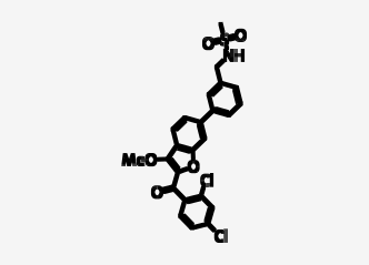 COc1c(C(=O)c2ccc(Cl)cc2Cl)oc2cc(-c3cccc(CNS(C)(=O)=O)c3)ccc12